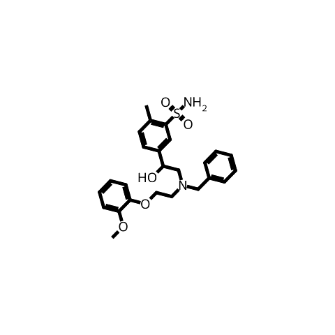 COc1ccccc1OCCN(Cc1ccccc1)CC(O)c1ccc(C)c(S(N)(=O)=O)c1